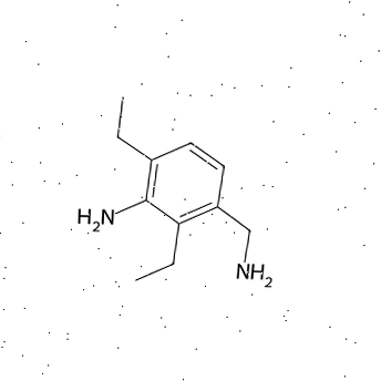 CCc1ccc(CN)c(CC)c1N